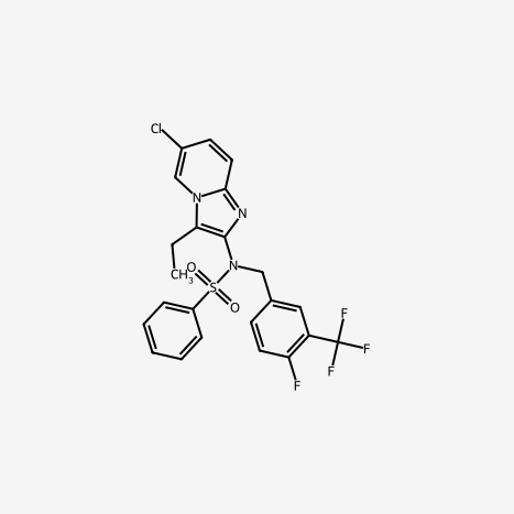 CCc1c(N(Cc2ccc(F)c(C(F)(F)F)c2)S(=O)(=O)c2ccccc2)nc2ccc(Cl)cn12